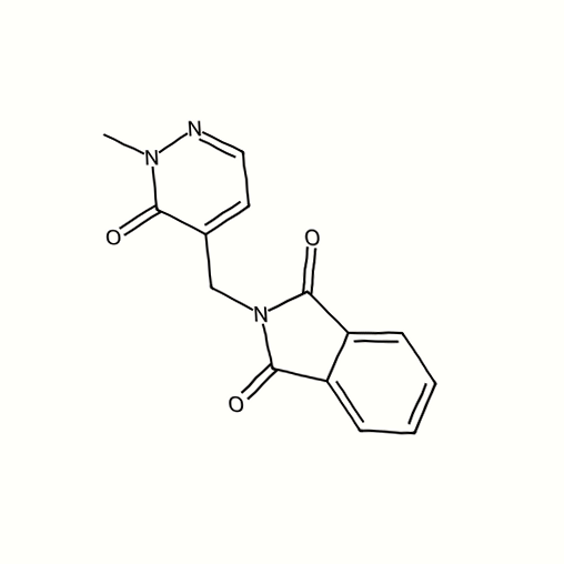 Cn1nccc(CN2C(=O)c3ccccc3C2=O)c1=O